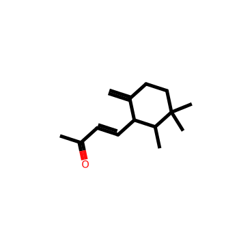 C=C1CCC(C)(C)C(C)C1C=CC(C)=O